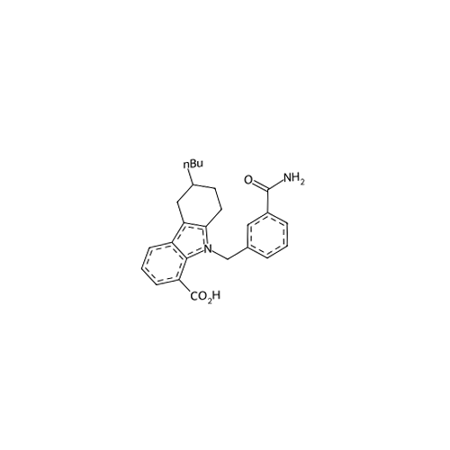 CCCCC1CCc2c(c3cccc(C(=O)O)c3n2Cc2cccc(C(N)=O)c2)C1